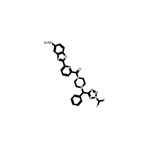 CC(=O)Nc1ccc2oc(-c3cccc(C(=O)N4CCN(C(c5ccccc5)c5nnn(C(F)F)n5)CC4)n3)nc2c1